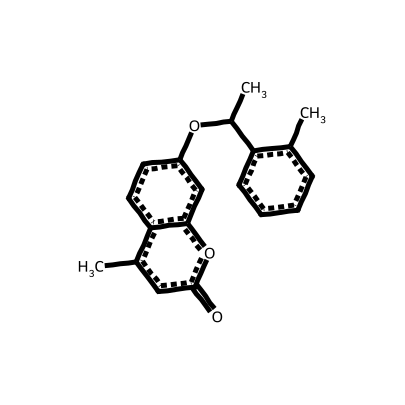 Cc1ccccc1C(C)Oc1ccc2c(C)cc(=O)oc2c1